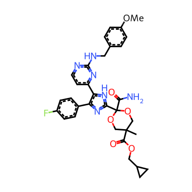 COc1ccc(CNc2nccc(-c3[nH]c(C4(C(N)=O)OCC(C)(C(=O)OCC5CC5)CO4)nc3-c3ccc(F)cc3)n2)cc1